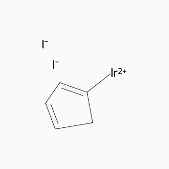 [I-].[I-].[Ir+2][C]1=CC=CC1